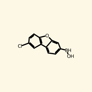 OBc1ccc2c(c1)oc1ccc(Cl)cc12